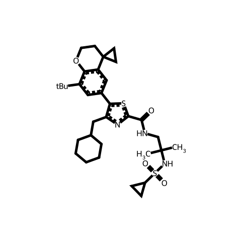 CC(C)(CNC(=O)c1nc(CC2CCCCC2)c(-c2cc(C(C)(C)C)c3c(c2)C2(CCO3)CC2)s1)NS(=O)(=O)C1CC1